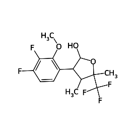 COc1c(C2C(O)OC(C)(C(F)(F)F)C2C)ccc(F)c1F